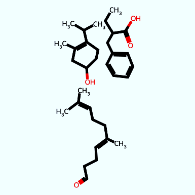 CC(C)=CCCC(C)=CCCC=O.CC1=C(C(C)C)CCC(O)C1.CCC(Cc1ccccc1)C(=O)O